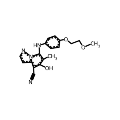 COCCOc1ccc(Nc2c(C)c(O)c(C#N)c3ccnn23)cc1